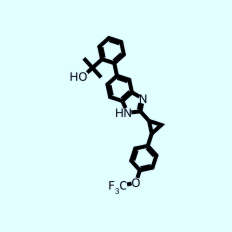 CC(C)(O)c1ccccc1-c1ccc2[nH]c(C3CC3c3ccc(OC(F)(F)F)cc3)nc2c1